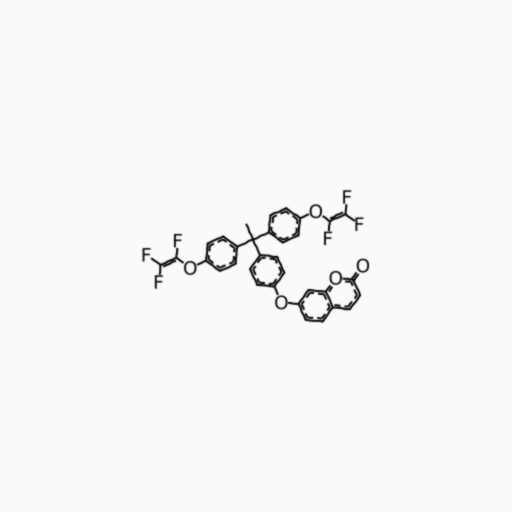 CC(c1ccc(OC(F)=C(F)F)cc1)(c1ccc(OC(F)=C(F)F)cc1)c1ccc(Oc2ccc3ccc(=O)oc3c2)cc1